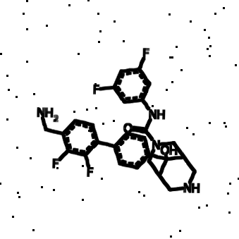 NCc1ccc(-c2ccc(C3(O)C4CNCC3CN(C(=O)Nc3cc(F)cc(F)c3)C4)cc2)c(F)c1F